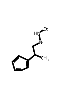 CCN[N]CC(C)c1ccccc1